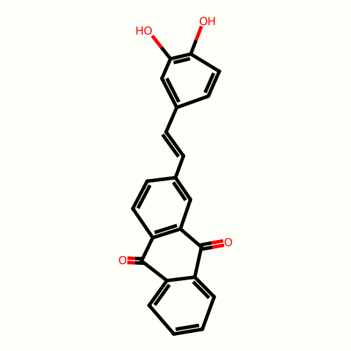 O=C1c2ccccc2C(=O)c2cc(/C=C/c3ccc(O)c(O)c3)ccc21